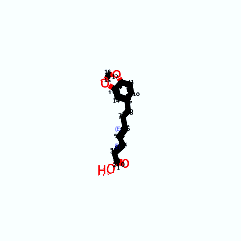 O=C(O)/C=C/C=C/CCc1ccc2c(c1)OCO2